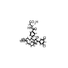 CC(C)(C)CCC(c1ccc(C(=O)NCCC(=O)O)cc1)N1C(=O)C(c2cc(Cl)cc(Cl)c2)=NC12CCN(CCC(C)(C)C)C2